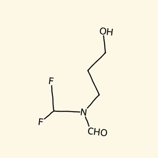 O=CN(CCCO)C(F)F